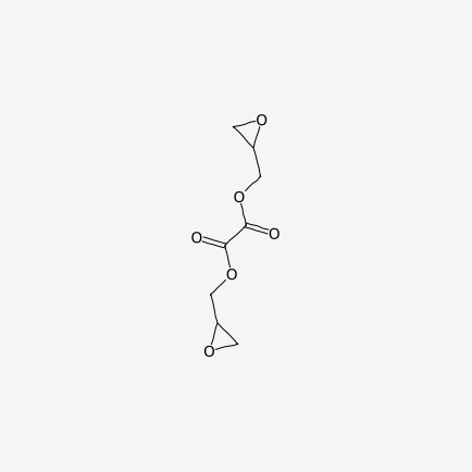 O=C(OCC1CO1)C(=O)OCC1CO1